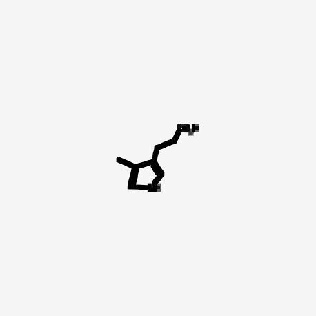 Cc1c[nH]cc1CCC(=O)O